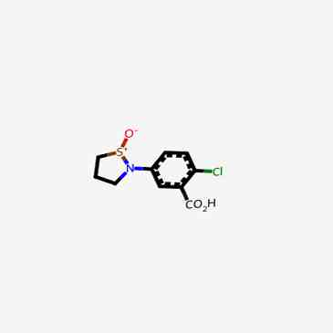 O=C(O)c1cc(N2CCC[S+]2[O-])ccc1Cl